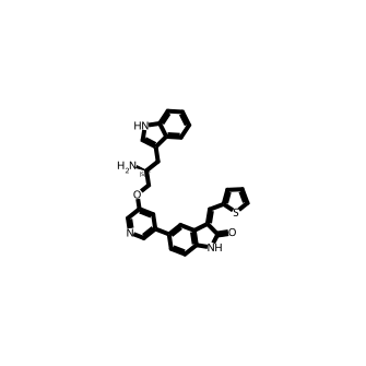 N[C@H](COc1cncc(-c2ccc3c(c2)C(=Cc2cccs2)C(=O)N3)c1)Cc1c[nH]c2ccccc12